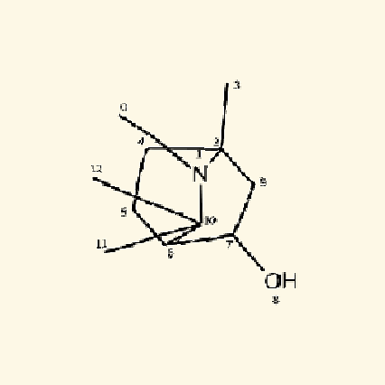 CN1C2(C)CCC(C(O)C2)C1(C)C